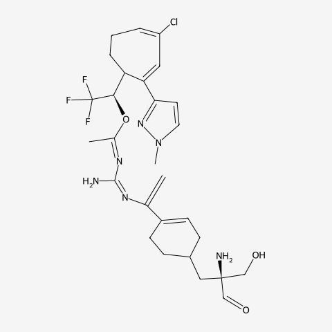 C=C(/N=C(N)\N=C(/C)O[C@H](C1CCC=C(Cl)C=C1c1ccn(C)n1)C(F)(F)F)C1=CCC(C[C@@](N)(C=O)CO)CC1